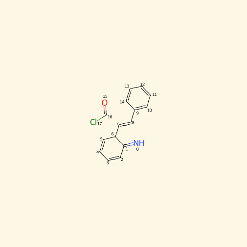 N=C1C=CC=CC1C=Cc1ccccc1.O=CCl